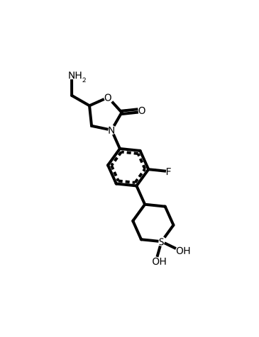 NCC1CN(c2ccc(C3CCS(O)(O)CC3)c(F)c2)C(=O)O1